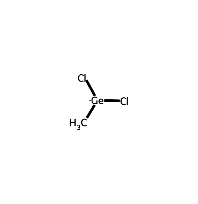 [CH3][Ge]([Cl])[Cl]